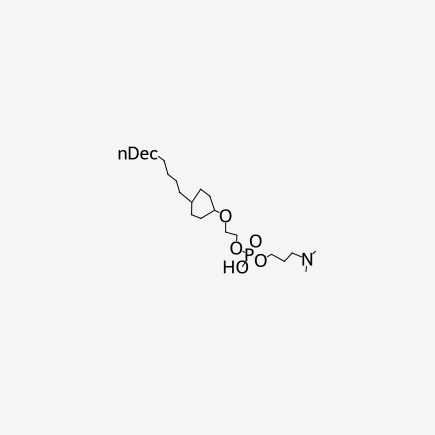 CCCCCCCCCCCCCCC1CCC(OCCOP(=O)(O)OCCCN(C)C)CC1